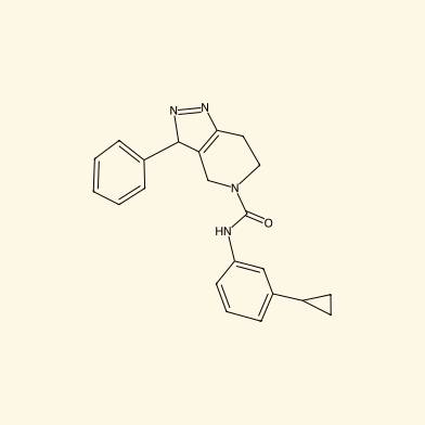 O=C(Nc1cccc(C2CC2)c1)N1CCC2=C(C1)C(c1ccccc1)N=N2